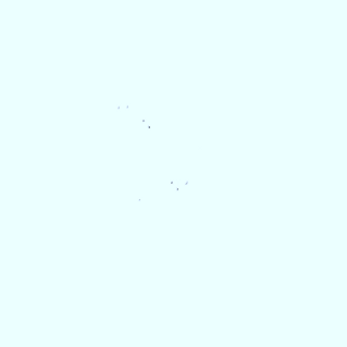 ON1CCN(F)CC1